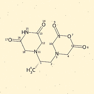 C[C@@H](CN1CC(=O)OC(=O)C1)N1CC(=O)NC(=O)C1